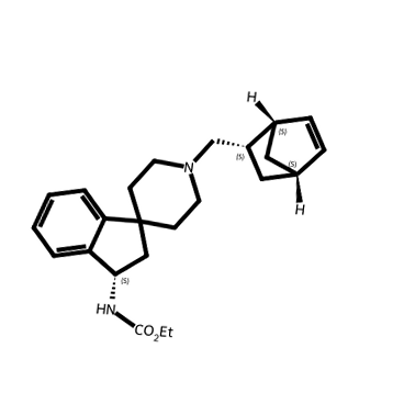 CCOC(=O)N[C@H]1CC2(CCN(C[C@H]3C[C@H]4C=C[C@@H]3C4)CC2)c2ccccc21